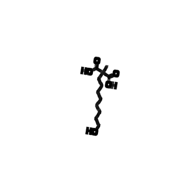 CC(CCCCCCCCO)(C(=O)O)C(=O)O